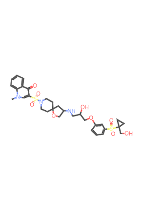 Cn1cc(S(=O)(=O)N2CCC3(CC2)CC(NCC(O)COc2cccc(S(=O)(=O)C4(CO)CC4)c2)CO3)c(=O)c2ccccc21